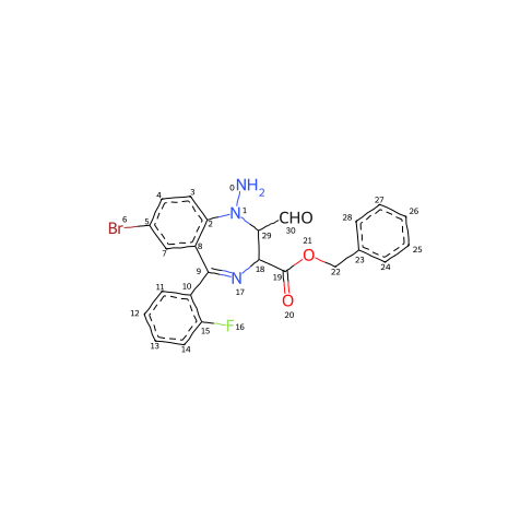 NN1c2ccc(Br)cc2C(c2ccccc2F)=NC(C(=O)OCc2ccccc2)C1C=O